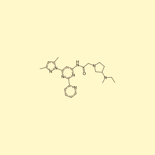 CCN(C)C1CCN(CC(=O)Nc2cc(-n3nc(C)cc3C)nc(-c3ccccn3)n2)C1